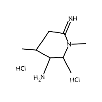 CC1CC(=N)N(C)C(C)C1N.Cl.Cl